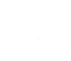 CC(C)CC(=O)c1ccccc1O